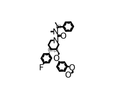 C[C@@H](c1ccccc1)N(C)C(=O)N1CC[C@@H](c2ccc(F)cc2)[C@H](COc2ccc3c(c2)OCO3)C1